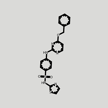 O=S(=O)(Nc1nccs1)c1ccc(Nc2nccc(OCc3ccccc3)n2)cc1